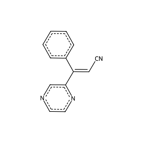 N#C/C=C(\c1ccccc1)c1cnccn1